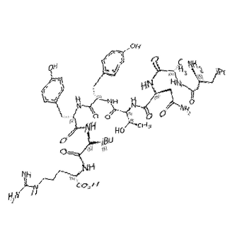 CC[C@H](C)[C@H](NC(=O)[C@H](Cc1ccc(O)cc1)NC(=O)[C@H](Cc1ccc(O)cc1)NC(=O)[C@@H](NC(=O)[C@H](CC(N)=O)NC(=O)[C@H](C)NC(=O)[C@@H](N)CC(C)C)[C@@H](C)O)C(=O)N[C@@H](CCCNC(=N)N)C(=O)O